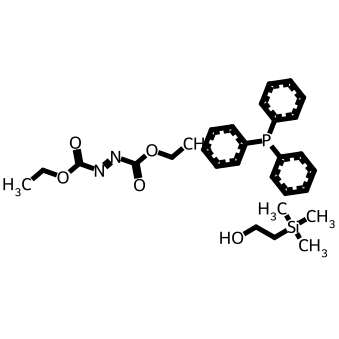 CCOC(=O)N=NC(=O)OCC.C[Si](C)(C)CCO.c1ccc(P(c2ccccc2)c2ccccc2)cc1